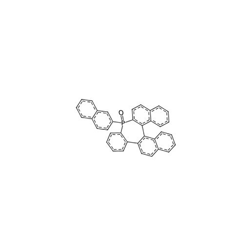 O=P1(c2ccc3ccccc3c2)c2ccccc2-c2ccc3ccccc3c2-c2c1ccc1ccccc21